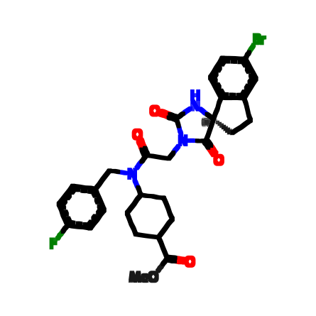 COC(=O)C1CCC(N(Cc2ccc(F)cc2)C(=O)CN2C(=O)N[C@]3(CCc4cc(Br)ccc43)C2=O)CC1